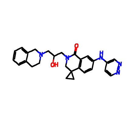 O=C1c2cc(Nc3ccnnc3)ccc2C2(CC2)CN1CC(O)CN1CCc2ccccc2C1